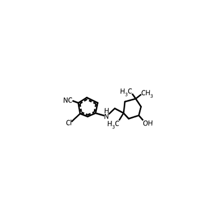 CC1(C)CC(O)CC(C)(CNc2ccc(C#N)c(Cl)c2)C1